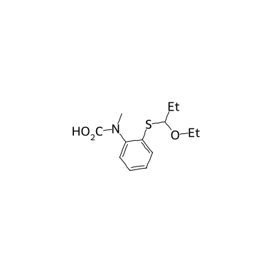 CCOC(CC)Sc1ccccc1N(C)C(=O)O